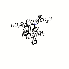 N=C(NCc1cnn(C[C@@H]2[C@H](NC(=O)/C(=N\OC3(C(=O)O)CC3)c3csc(N)n3)C(=O)N2S(=O)(=O)O)n1)N1CCCC1